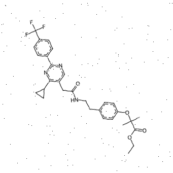 CCOC(=O)C(C)(C)Oc1ccc(CCNC(=O)Cc2cnc(-c3ccc(C(F)(F)F)cc3)nc2C2CC2)cc1